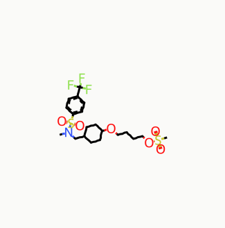 CN(CC1CCC(OCCCCOS(C)(=O)=O)CC1)S(=O)(=O)c1ccc(C(F)(F)F)cc1